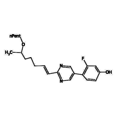 CCCCCOC(C)CCCC=Cc1ncc(-c2ccc(O)cc2F)cn1